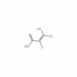 C=C(/C(F)=C(/Cl)CCC)C(C)(C)C